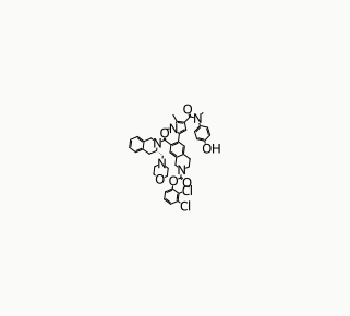 Cc1c(C(=O)N(C)c2ccc(O)cc2)cc(-c2cc3c(cc2C(=O)N2Cc4ccccc4C[C@H]2CN2CCOCC2)CN(C(=O)Oc2cccc(Cl)c2Cl)CC3)n1C